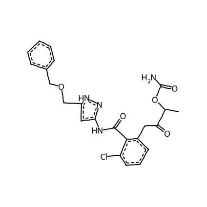 CC(OC(N)=O)C(=O)Cc1cccc(Cl)c1C(=O)Nc1cc(COCc2ccccc2)[nH]n1